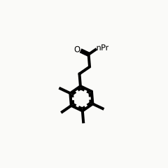 CCCC(=O)CCc1cc(C)c(C)c(C)c1C